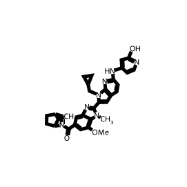 COc1cc(C(=O)N2CC3CCC2[C@@H]3C)cc2nc(-c3cc4ccc(Nc5ccnc(O)c5)nc4n3CC3CC3)n(C)c12